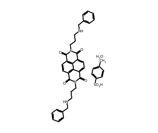 Cc1ccc(S(=O)(=O)O)cc1.O.O=C1c2ccc3c4c(ccc(c24)C(=O)N1CCCNCc1ccccc1)C(=O)N(CCCNCc1ccccc1)C3=O